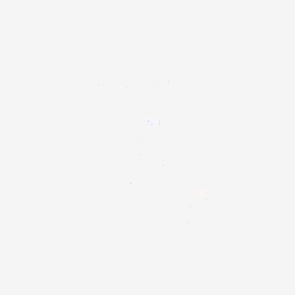 Cc1cc(C(C)(C)C)cc(C(C)(C)C)c1NCCC(Cc1ccccc1O)C(C)(C)C